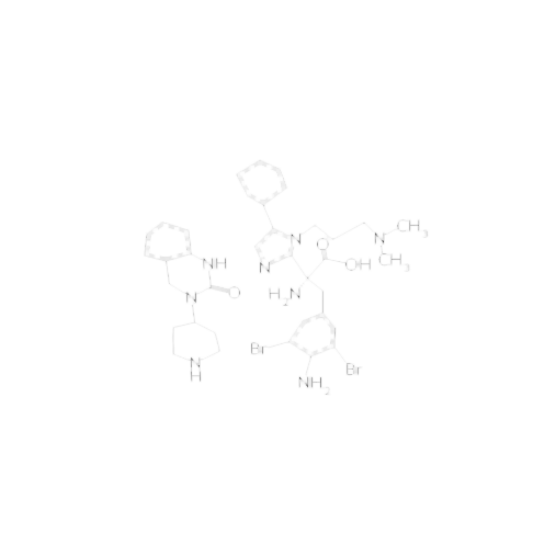 CN(C)CCCn1c(-c2ccccc2)cnc1[C@](N)(Cc1cc(Br)c(N)c(Br)c1)C(=O)O.O=C1Nc2ccccc2CN1C1CCNCC1